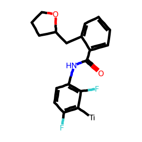 O=C(Nc1ccc(F)[c]([Ti])c1F)c1ccccc1CC1CCCO1